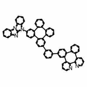 c1cc(-c2ccc3c(c2)-c2ccccc2-c2ccccc2-c2cc(-n4c5ccccc5n5c6ccccc6nc45)ccc2-3)cc(-c2ccc3c(c2)-c2cccnc2-c2ncccc2-c2ccccc2-3)c1